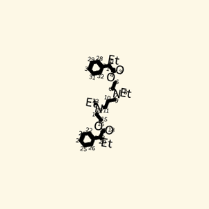 CCC(C(=O)OCCN(CC)CCCN(CC)CCOC(=O)C(CC)c1ccccc1)c1ccccc1